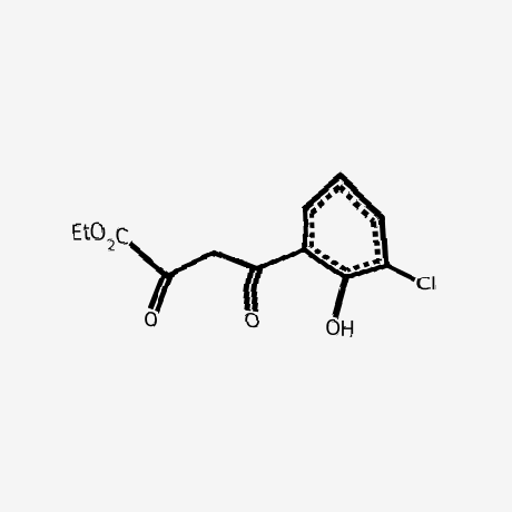 CCOC(=O)C(=O)CC(=O)c1cccc(Cl)c1O